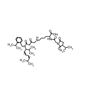 CC(C)/C=C\C=C/C(C(C)C)N(Cc1ccccc1C(C)C)C(=O)CC(=O)CNCCCCC(NC(=O)CN1C(=O)CC(C(C)C)C1=O)C(=O)O